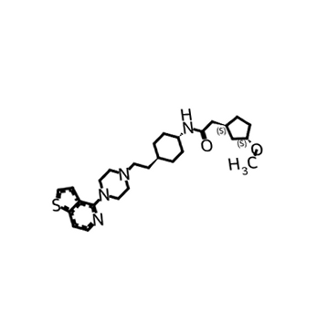 CO[C@H]1CC[C@H](CC(=O)N[C@H]2CC[C@H](CCN3CCN(c4nccc5sccc45)CC3)CC2)C1